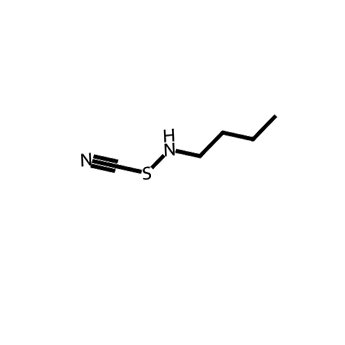 CCCCNSC#N